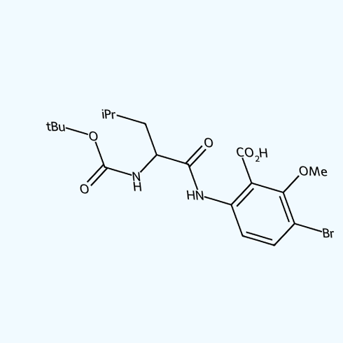 COc1c(Br)ccc(NC(=O)C(CC(C)C)NC(=O)OC(C)(C)C)c1C(=O)O